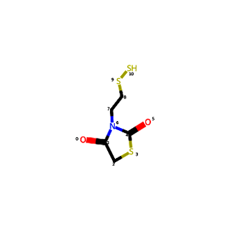 O=C1CSC(=O)N1CCSS